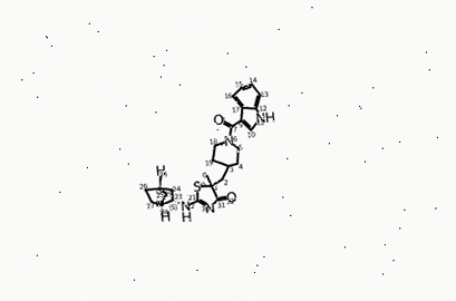 CC1(CC2CCN(C(=O)c3c[nH]c4ccccc34)CC2)SC(N[C@H]2C[C@H]3CC[C@H]2C3)=NC1=O